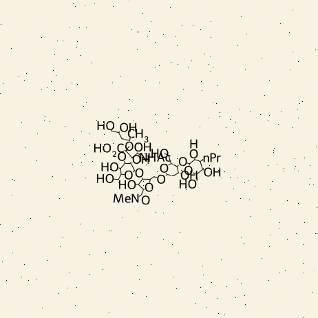 CCC[C@H]1C(O)C(CO)OC(OC2C(CO)O[C@@H](OCC3OC(C(=O)NC)C(O)C3OC3OC(CO)C(O)C(OC(C[C@@H](O)NC(C)=O)(O[C@H](C)C[C@H](O)CO)C(=O)O)C3O)C[C@H]2O)C1O